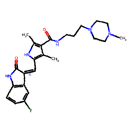 Cc1[nH]c(/C=C2\C(=O)Nc3ccc(F)cc32)c(C)c1C(=O)NCCCN1CCN(C)CC1